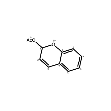 CC(=O)OC1C=Cc2ccccc2O1